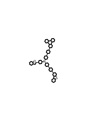 c1ccc2oc(-c3ccc(N(c4ccc(-c5ccc(-c6ccc7sc8ccccc8c7c6)cc5)cc4)c4ccc(-c5ccc(-c6ccc7c8ccccc8c8ccccc8c7c6)cc5)cc4)cc3)cc2c1